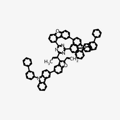 C=Cc1oc2ccc(-c3ccc4c(c3)c3ccccc3n4-c3cccc(-c4ccccc4)c3)cc2c1/C(=C\C)c1nc(-c2ccc(-c3ccccc3)cc2)nc(-c2cccc3oc4ccc(-c5ccc6c(c5)c5ccccc5n6-c5cccc(-c6ccccc6)c5)cc4c23)n1